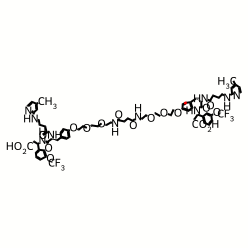 Cc1ccnc(NCCCC(=O)N[C@@H](Cc2ccc(OCCOCCOCCNC(=O)CCC(=O)NCCOCCOCCOc3ccc(C[C@H](NC(=O)CCCNc4cc(C)ccn4)C(=O)NC(CC(=O)O)c4cccc(OC(F)(F)F)c4)cc3)cc2)C(=O)NC(CC(=O)O)c2cccc(OC(F)(F)F)c2)c1